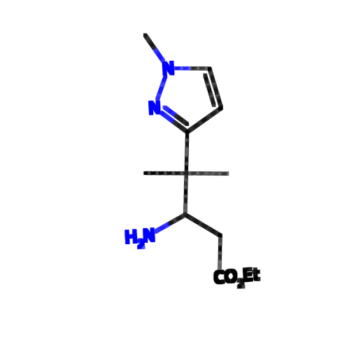 CCOC(=O)CC(N)C(C)(C)c1ccn(C)n1